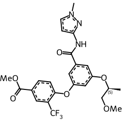 COC[C@H](C)Oc1cc(Oc2ccc(C(=O)OC)cc2C(F)(F)F)cc(C(=O)Nc2ccn(C)n2)c1